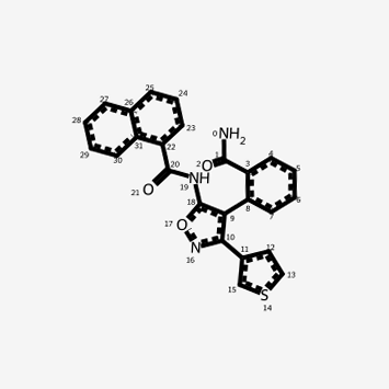 NC(=O)c1ccccc1-c1c(-c2ccsc2)noc1NC(=O)c1cccc2ccccc12